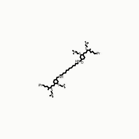 CC(C)CCCC(C)C(CCC1CCC(CNCCCCCCCCCCCCNC(=O)C2CCC(CCC(SCCN(C)C)C(C)CCCC(C)C)C(SCCN(C)C)C2)CC1SCCN(C)C)SCCN(C)C